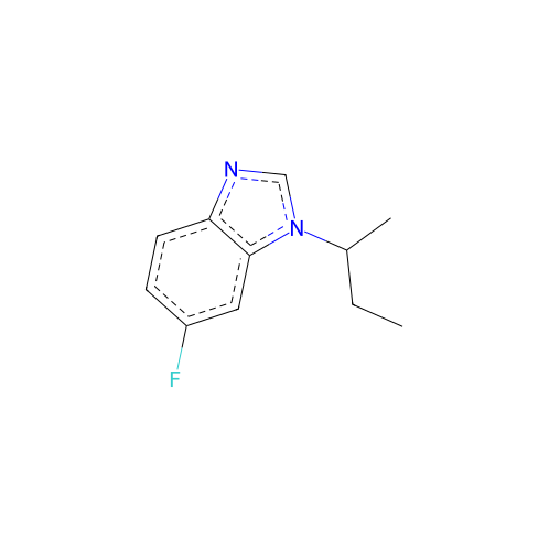 CCC(C)n1cnc2ccc(F)cc21